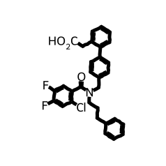 O=C(O)Cc1ccccc1-c1ccc(CN(CCCc2ccccc2)C(=O)c2cc(F)c(F)cc2Cl)cc1